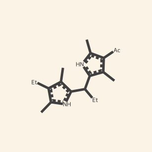 CCc1c(C)[nH]c(C(CC)c2[nH]c(C)c(C(C)=O)c2C)c1C